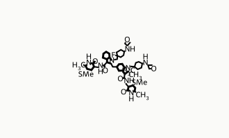 CSc1cc(C)[nH]c(=O)c1CNC(=O)c1c(C)n(CC2(C)CCC(NC3COC3)CC2)c2ccc(Cc3c(C(=O)NCc4c(SC)cc(C)[nH]c4=O)c4ccccc4n3CC3(F)CCC(NC4COC4)CC3)cc12